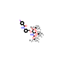 CC(C)(C)OC(=O)N[C@H](C(=O)OC(C)(C)C)[C@H](OCc1cccc(NC(=O)c2ccc(I)cc2)c1)C(=O)OC(C)(C)C